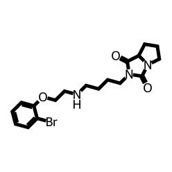 O=C1C2CCCN2C(=O)N1CCCCNCCOc1ccccc1Br